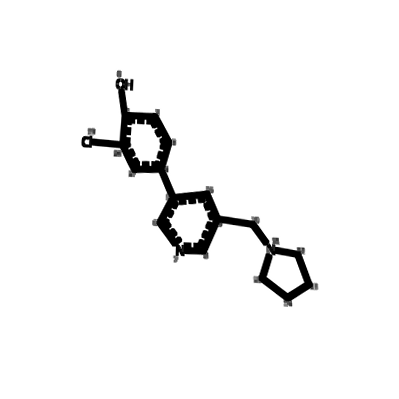 Oc1ccc(-c2cncc(CN3CCCC3)c2)cc1Cl